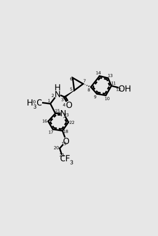 CC(NC(=O)[C@H]1C[C@@H]1c1ccc(O)cc1)c1ccc(OCC(F)(F)F)cn1